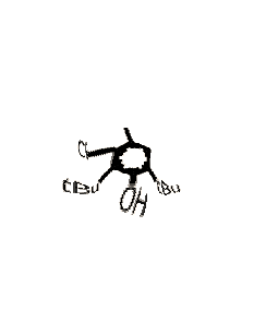 Cc1cc(C(C)(C)C)c(O)c(C(C)(C)C)c1Cl